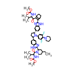 CCC1CCN(C(=O)[C@@H](NC(=O)OC)C(C)C)[C@@H](c2nc3cc([C@H]4CC[C@H](c5ccc6[nH]c([C@@H]7C8CCC(C8)C7C(=O)[C@@H](NC(=O)OC)C(C)C)nc6c5)N4c4cc(F)c(N5CCCCC5)c(F)c4)ccc3[nH]2)C1